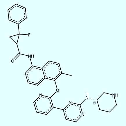 Cc1ccc2c(NC(=O)C3CC3(F)c3ccccc3)cccc2c1Oc1ncccc1-c1ccnc(N[C@H]2CCCNC2)n1